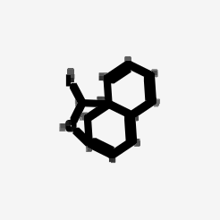 FC1OC2=CC=C3C=CC=CC31C2